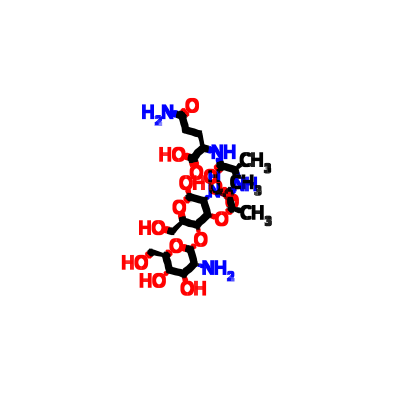 CC(=O)N[C@@H]1[C@@H](O[C@H](C)C(=O)N[C@@H](C)C(=O)N[C@H](CCC(N)=O)C(=O)O)[C@H](O[C@@H]2O[C@H](CO)[C@@H](O)[C@H](O)[C@H]2N)[C@@H](CO)O[C@H]1O